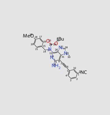 [C-]#[N+]c1cccc(C#Cc2c(N)nc(N(Cc3ccc(OC)cc3)C(=O)OC(C)(C)C)c3ncn(C)c23)c1